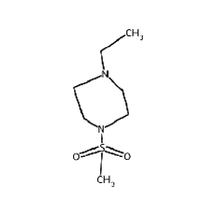 CCN1CCN(S(C)(=O)=O)CC1